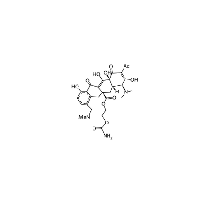 CNCc1ccc(O)c2c1C[C@@]1(C(=O)OCCOC(N)=O)C[C@H]3[C@H](N(C)C)C(O)=C(C(C)=O)C(=O)[C@@]3(O)C(O)=C1C2=O